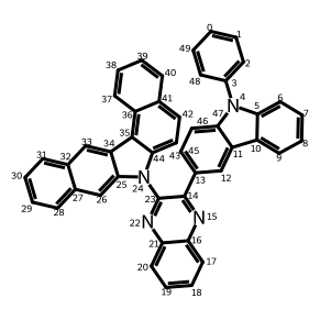 c1ccc(-n2c3ccccc3c3cc(-c4nc5ccccc5nc4-n4c5cc6ccccc6cc5c5c6ccccc6ccc54)ccc32)cc1